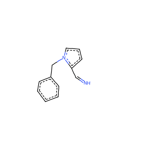 N=Cc1cccn1Cc1ccccc1